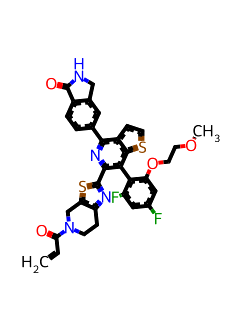 C=CC(=O)N1CCc2nc(-c3nc(-c4ccc5c(c4)CNC5=O)c4ccsc4c3-c3c(F)cc(F)cc3OCCOC)sc2C1